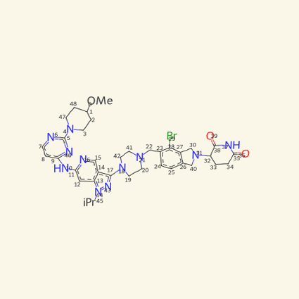 COC1CCN(c2nccc(Nc3cc4c(cn3)c(N3CCN(Cc5ccc6c(c5Br)CN(C5CCC(=O)NC5=O)C6)CC3)nn4C(C)C)n2)CC1